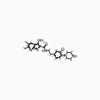 Cc1cc2c(N)c(C(=O)NCCc3ccc(N4CCNCC4)c(Cl)c3)sc2nc1C